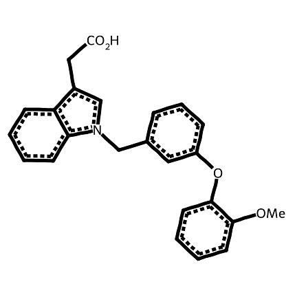 COc1ccccc1Oc1cccc(Cn2cc(CC(=O)O)c3ccccc32)c1